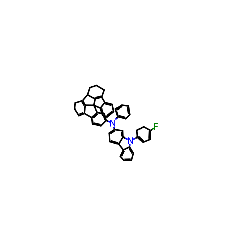 FC1=CC=C(n2c3ccccc3c3ccc(N(c4ccccc4)c4ccc5c(c4)C46C7=C(CCC=C75)C5CCCC(=C54)c4ccccc46)cc32)CC1